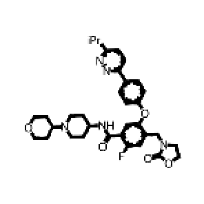 CC(C)c1ccc(-c2ccc(Oc3cc(C(=O)NC4CCN(C5CCOCC5)CC4)c(F)cc3CN3CCOC3=O)cc2)nn1